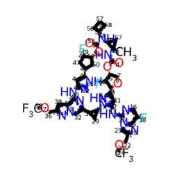 CC1(NC(=O)O[C@@H]2CO[C@H](c3cc(Nc4ncc(F)c5nc(COC(F)(F)F)cn45)[n+](C4CC4c4cn5nc(COC(F)(F)F)cc5c(Nc5cc([C@H]6C[C@@H](F)[C@@H](OC(=O)NC78CC(C7)C8)C6)[nH]n5)n4)[nH]3)[C@H]2F)CC1